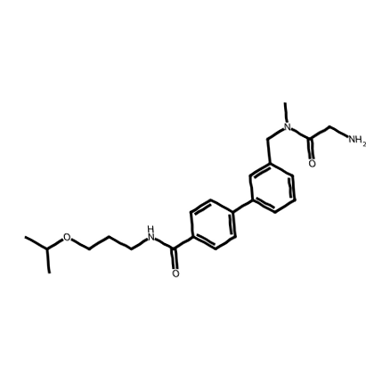 CC(C)OCCCNC(=O)c1ccc(-c2cccc(CN(C)C(=O)CN)c2)cc1